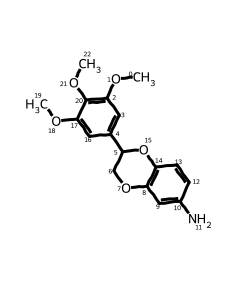 COc1cc(C2COc3cc(N)ccc3O2)cc(OC)c1OC